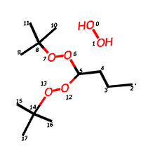 OO.[CH2]CCC(OOC(C)(C)C)OOC(C)(C)C